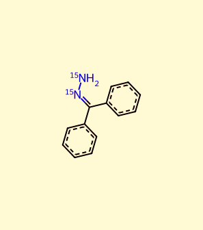 [15NH2][15N]=C(c1ccccc1)c1ccccc1